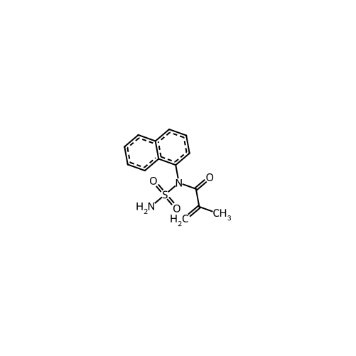 C=C(C)C(=O)N(c1cccc2ccccc12)S(N)(=O)=O